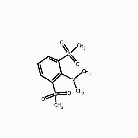 CN(C)c1c(S(C)(=O)=O)cccc1S(C)(=O)=O